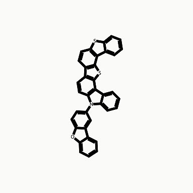 c1ccc2c(c1)oc1ccc(-n3c4ccccc4c4c5sc6c(ccc7sc8ccccc8c76)c5ccc43)cc12